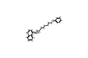 c1ccc(OCCCCCCCCNc2ccnc3ccccc23)cc1